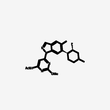 COc1nc(NC(C)=O)cc(-n2ncc3cc(C)c([C@H]4CCN(C)C[C@H]4F)cc32)n1